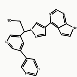 N#CCC(c1cncc(-c2cncnc2)c1)n1cc(-c2ncnc3[nH]ccc23)cn1